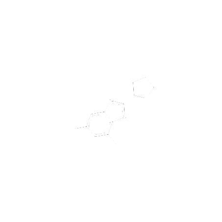 Cc1cc(O)cc2[nH]c([C@@H]3CCCO3)nc12